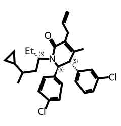 C=CCC1=C(C)[C@H](c2cccc(Cl)c2)[C@@H](c2ccc(Cl)cc2)N([C@@H](CC)CC(C)C2CC2)C1=O